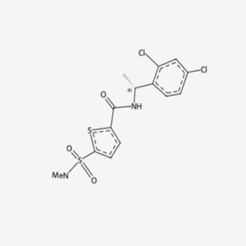 CNS(=O)(=O)c1ccc(C(=O)N[C@H](C)c2ccc(Cl)cc2Cl)s1